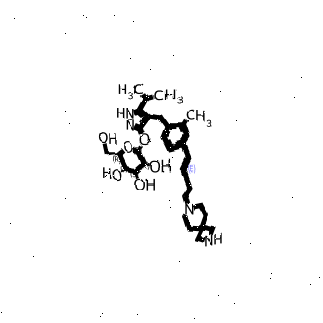 Cc1cc(/C=C/CCN2CCC3(CC2)CNC3)ccc1Cc1c(O[C@@H]2O[C@H](CO)[C@@H](O)[C@H](O)[C@H]2O)n[nH]c1C(C)C